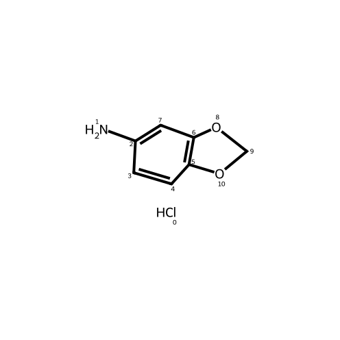 Cl.Nc1ccc2c(c1)OCO2